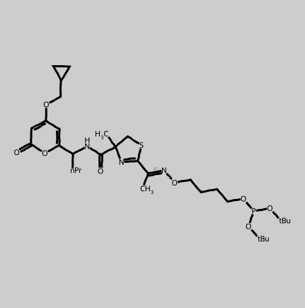 CCCC(NC(=O)C1(C)CSC(/C(C)=N/OCCCCOP(OC(C)(C)C)OC(C)(C)C)=N1)c1cc(OCC2CC2)cc(=O)o1